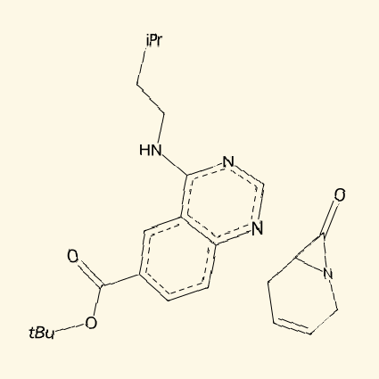 CC(C)CCNc1ncnc2ccc(C(=O)OC(C)(C)C)cc12.O=C1C2CC=CCN12